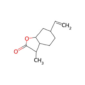 C=CC1CCC2C(C1)OC(=O)C2C